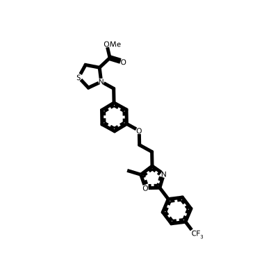 COC(=O)C1CSCN1Cc1cccc(OCCc2nc(-c3ccc(C(F)(F)F)cc3)oc2C)c1